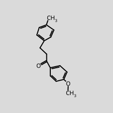 COc1ccc(C(=O)CCc2ccc(C)cc2)cc1